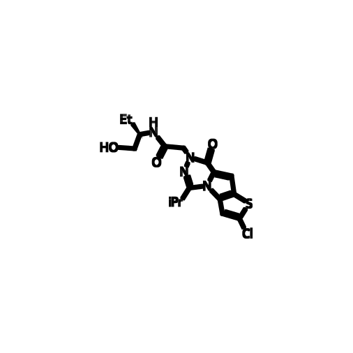 CC[C@H](CO)NC(=O)Cn1nc(C(C)C)n2c(cc3sc(Cl)cc32)c1=O